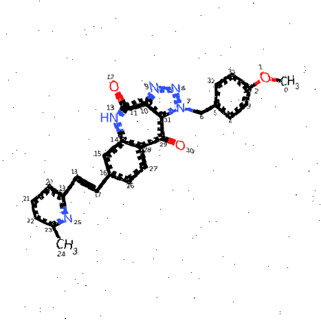 COc1ccc(Cn2nnc3c(=O)[nH]c4cc(C=Cc5cccc(C)n5)ccc4c(=O)c32)cc1